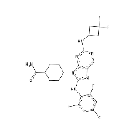 NC(=O)C1CCC(n2c(Nc3c(F)cc(Cl)cc3F)nc3cnc(NC4CC(F)(F)C4)nc32)CC1